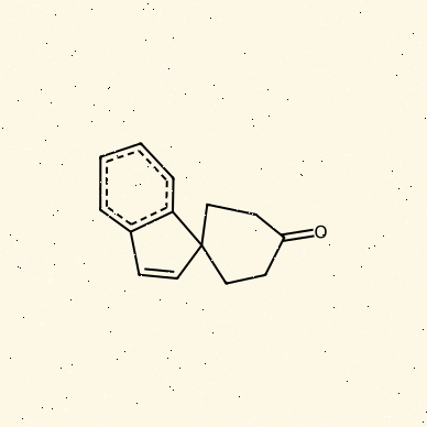 O=C1CCC2(C=Cc3ccccc32)CC1